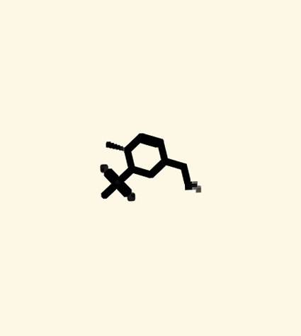 C[C@@H]1C=CC(CN)CC1S(C)(=O)=O